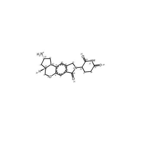 N[C@H]1C[C@H]2COc3cc4c(cc3N2C1)CN(C1CCC(=O)NC1=O)C4=O